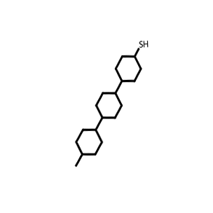 CC1CCC(C2CCC(C3CCC(S)CC3)CC2)CC1